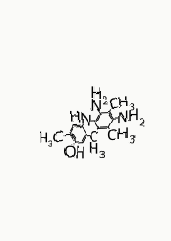 Cc1cc(Nc2cc(C)c(N)c(C)c2N)c(C)cc1O